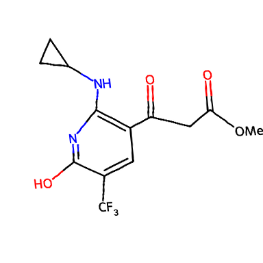 COC(=O)CC(=O)c1cc(C(F)(F)F)c(O)nc1NC1CC1